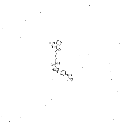 Nc1ccccc1NC(=O)CCCCCNC(=O)c1cc(-c2ccc(NCC3CC3)cc2)n[nH]1